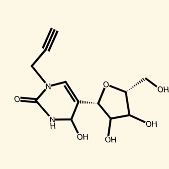 C#CCN1C=C([C@@H]2O[C@H](CO)C(O)C2O)C(O)NC1=O